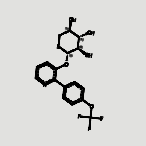 O[C@@H]1[C@@H](O)[C@H](Oc2cccnc2-c2ccc(OC(F)(F)F)cc2)SC[C@H]1O